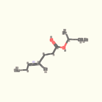 CCOC(=O)C(OC(=O)CC/C(=C/CC(C)(C)C)CC)C(C)C